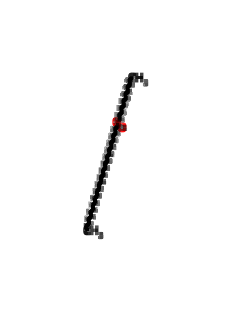 CCCCCCCCCCCCCCCCCCCCCCCCCCCCCCC(=O)OCCCCCCCCCCCCC